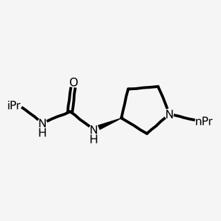 CCCN1CC[C@H](NC(=O)NC(C)C)C1